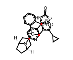 O=c1[nH]c(-c2ccc(N3[C@@H]4CC[C@H]3CC(OCc3c(-c5ccccc5Cl)noc3C3CC3)C4)nc2)no1